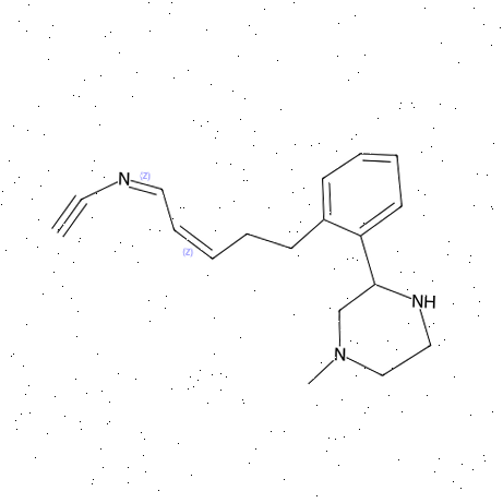 C#C/N=C\C=C/CCc1ccccc1C1CN(C)CCN1